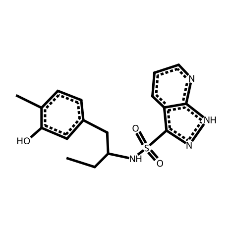 CCC(Cc1ccc(C)c(O)c1)NS(=O)(=O)c1n[nH]c2ncccc12